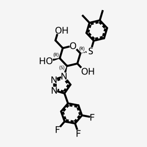 Cc1ccc(S[C@H]2OC(CO)[C@H](O)[C@H](n3cc(-c4cc(F)c(F)c(F)c4)nn3)C2O)cc1C